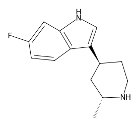 C[C@@H]1C[C@@H](c2c[nH]c3cc(F)ccc23)CCN1